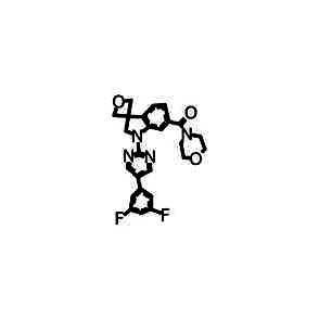 O=C(c1ccc2c(c1)N(c1ncc(-c3cc(F)cc(F)c3)cn1)CC21COC1)N1CCOCC1